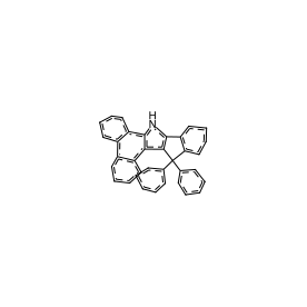 c1ccc(C2(c3ccccc3)c3ccccc3-c3[nH]c4c5ccccc5c5ccccc5c4c32)cc1